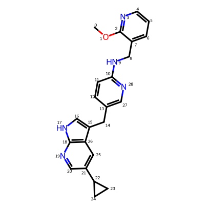 COc1ncccc1CNc1ccc(Cc2c[nH]c3ncc(C4CC4)cc23)cn1